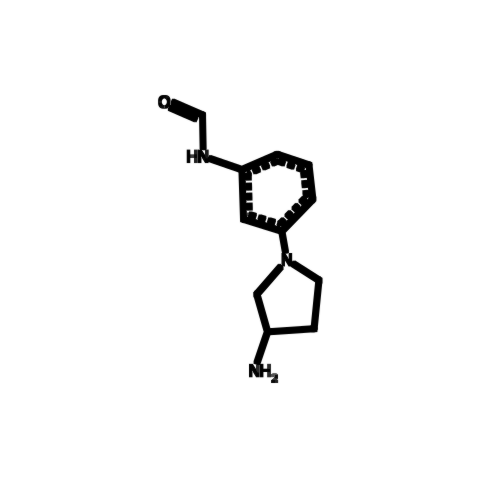 NC1CCN(c2cccc(NC=O)c2)C1